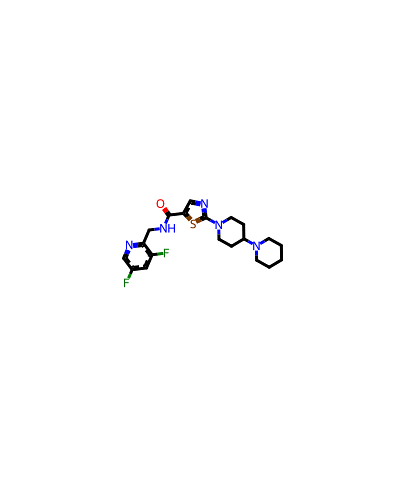 O=C(NCc1ncc(F)cc1F)c1cnc(N2CCC(N3CCCCC3)CC2)s1